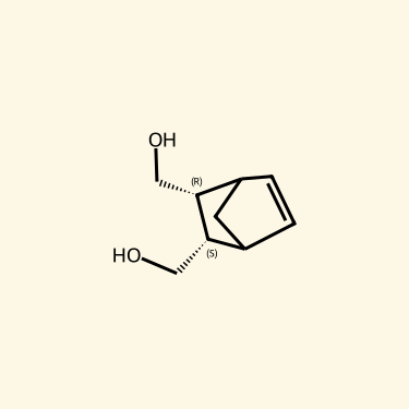 OC[C@@H]1C2C=CC(C2)[C@@H]1CO